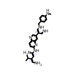 CNc1ccc(CN/C=C(\C=N)c2cnc3ccc(N/C(N)=C/C(=C\N)C(C)C)nc3c2)cc1